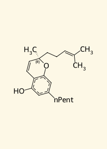 CCCCCc1cc(O)c2c(c1)O[C@](C)(CCC=C(C)C)C=C2